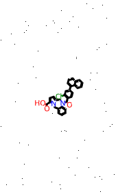 O=C(O)c1ccc2n1Cc1ccccc1N(C(=O)c1ccc(-c3cccc4ccccc34)cc1Cl)C2